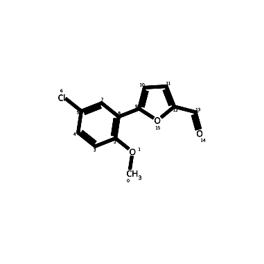 COc1ccc(Cl)cc1-c1ccc([C]=O)o1